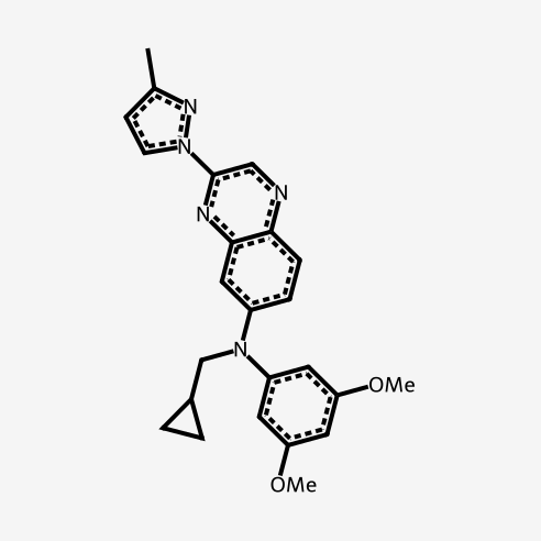 COc1cc(OC)cc(N(CC2CC2)c2ccc3ncc(-n4ccc(C)n4)nc3c2)c1